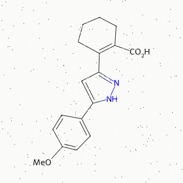 COc1ccc(-c2cc(C3=C(C(=O)O)CCCC3)n[nH]2)cc1